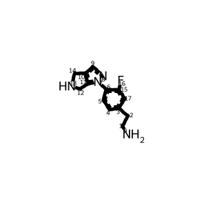 NCCc1ccc(-n2ncc3c2CNC3)c(F)c1